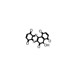 O=C1C=CC(=O)C2=C1c1nc3c(nc1C(=O)C2O)C(=O)C=CC3=O